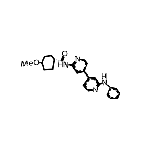 CO[C@H]1CC[C@H](C(=O)Nc2cc(-c3ccnc(Nc4ccccc4)c3)ccn2)CC1